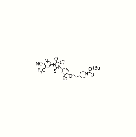 CCc1cc(N2C(=S)N(c3cnc(C#N)c(C(F)(F)F)c3)C(=O)C23CCC3)ccc1OCCC1CCN(C(=O)OC(C)(C)C)CC1